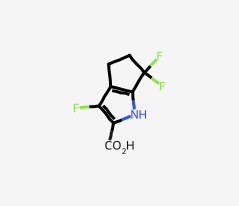 O=C(O)c1[nH]c2c(c1F)CCC2(F)F